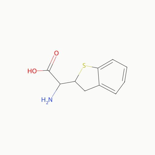 NC(C(=O)O)C1Cc2ccccc2S1